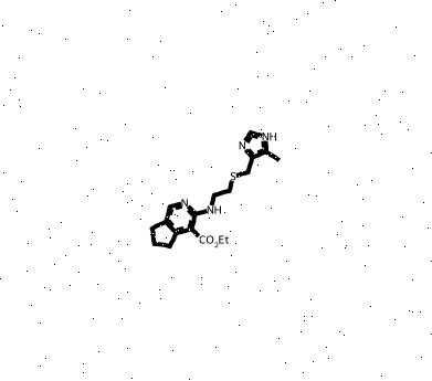 CCOC(=O)c1c(NCCSCc2nc[nH]c2C)ncc2c1CCC2